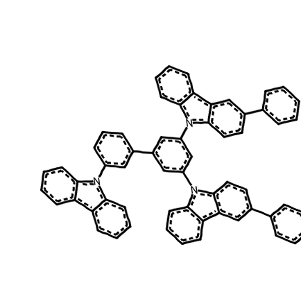 c1ccc(-c2ccc3c(c2)c2ccccc2n3-c2cc(-c3cccc(-n4c5ccccc5c5ccccc54)c3)cc(-n3c4ccccc4c4cc(-c5ccccc5)ccc43)c2)cc1